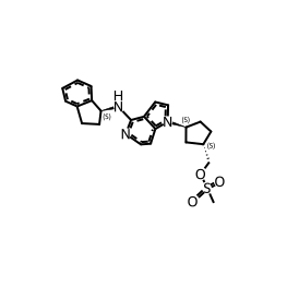 CS(=O)(=O)OC[C@H]1CC[C@H](n2ccc3c(N[C@H]4CCc5ccccc54)nccc32)C1